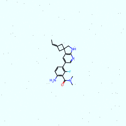 CC=C1CC2(CNc3ncc(-c4ccc(N)c(C(=O)N(C)C)c4F)cc32)C1